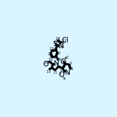 COc1ccnc(OC)c1C1CC(C)C(C=O)N1Cc1cccc(-c2nc(Cl)cs2)c1